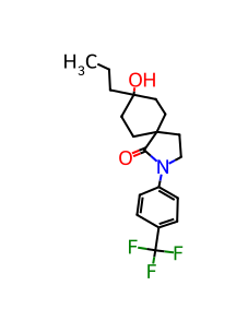 CCCC1(O)CCC2(CCN(c3ccc(C(F)(F)F)cc3)C2=O)CC1